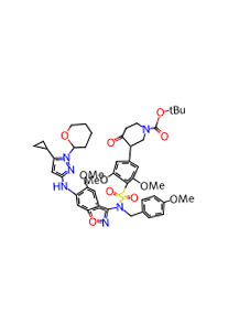 COc1ccc(CN(c2noc3cc(Nc4cc(C5CC5)n(C5CCCCO5)n4)c(OC)cc23)S(=O)(=O)c2c(OC)cc(C3CN(C(=O)OC(C)(C)C)CCC3=O)cc2OC)cc1